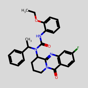 CCOc1ccccc1NC(=O)N(C(C)c1ccccc1)C1CCCn2c1nc1cc(F)ccc1c2=O